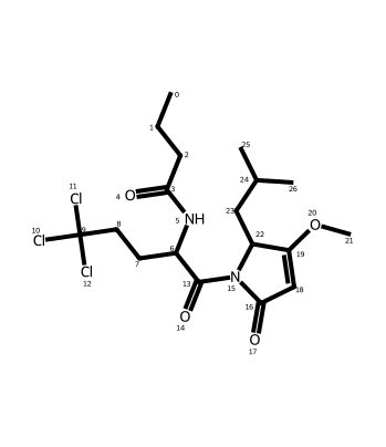 CCCC(=O)NC(CCC(Cl)(Cl)Cl)C(=O)N1C(=O)C=C(OC)C1CC(C)C